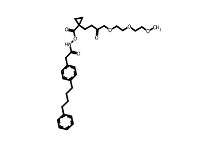 COCCOCCOCC(=O)CCC1(C(=O)ONC(=O)Cc2ccc(CCCCc3ccccc3)cc2)CC1